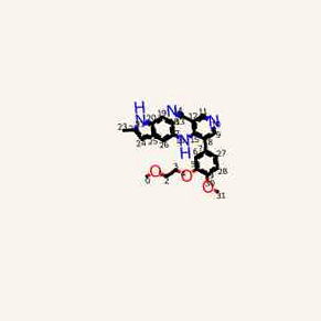 COCCOc1cc(-c2cncc(C#N)c2Nc2ccc3[nH]c(C)cc3c2)ccc1OC